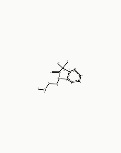 C=C1N(CCOC)c2ccccc2C1(C)C